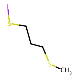 CSCCCSI